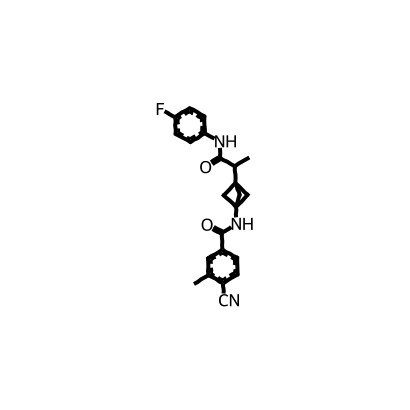 Cc1cc(C(=O)NC23CC(C(C)C(=O)Nc4ccc(F)cc4)(C2)C3)ccc1C#N